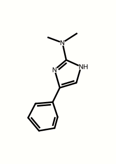 CN(C)c1nc(-c2ccccc2)c[nH]1